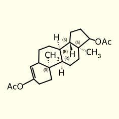 CC(=O)OC1=CC2CC[C@@H]3[C@@H](CC[C@]4(C)C(OC(C)=O)CC[C@@H]34)[C@@]2(C)CC1